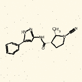 C[C@H]1[C@@H](C(=O)Nc2cc(-c3ccccc3)[nH]n2)CCN1C#N